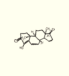 C[C@]12CCC(=O)C(O)=C1C=C[C@@H]1[C@H]2CC[C@]2(C)C(=O)CC[C@@H]12